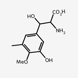 COc1c(C)cc(C(O)C(N)C(=O)O)cc1O